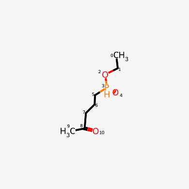 CCO[PH](=O)CCCC(C)=O